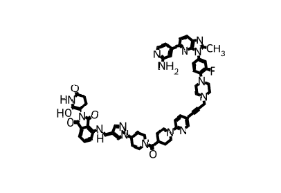 Cc1nc2ccc(-c3ccnc(N)c3)nc2n1-c1ccc(N2CCN(CC#Cc3ccc(N4CCC(C(=O)N5CCC(n6cc(CNc7cccc8c7C(=O)N([C@H]7CCC(=O)NC7O)C8=O)cn6)CC5)CC4)nc3)CC2)c(F)c1